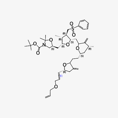 C=CCOC/C=C/[C@H]1CC(=C)C(CC[C@H]2C[C@@H](C)C(=C)C(C[C@@H]3O[C@H](C[C@H]4CN(C(=O)OC(C)(C)C)C(C)(C)O4)[C@H](C)[C@H]3CS(=O)(=O)c3ccccc3)O2)O1